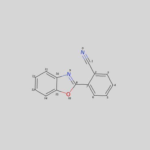 N#Cc1ccccc1-c1nc2ccccc2o1